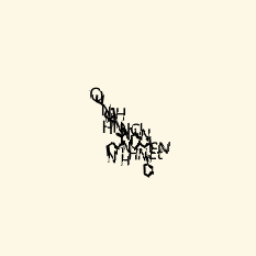 CC[C@@H](Nc1c(C#N)cnc2c(Cl)cc(N[C@@H](c3cccnc3)c3cn([C@@H]4[C@@H]5CN(C6COC6)C[C@@H]54)nn3)cc12)c1ccccc1